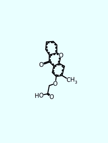 Cc1cc2oc3ccccc3c(=O)c2cc1OCC(=O)O